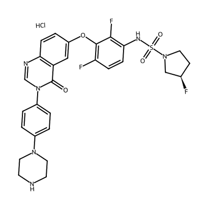 Cl.O=c1c2cc(Oc3c(F)ccc(NS(=O)(=O)N4CC[C@@H](F)C4)c3F)ccc2ncn1-c1ccc(N2CCNCC2)cc1